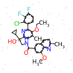 CCOc1c(C)cc([C@@](O)(CNC(=O)c2cc(OC)c3nc(C)ccc3c2)C2CC2)nc1-c1ccc(F)c(F)c1Cl